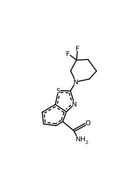 NC(=O)c1[c]ccc2sc(N3CCCC(F)(F)C3)nc12